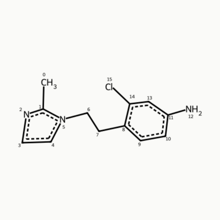 Cc1nccn1CCc1ccc(N)cc1Cl